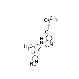 Cc1cc(Nc2ncnc3ccc(OCCC[S+](C)[O-])cc23)ccc1Oc1ccn2ccnc2c1